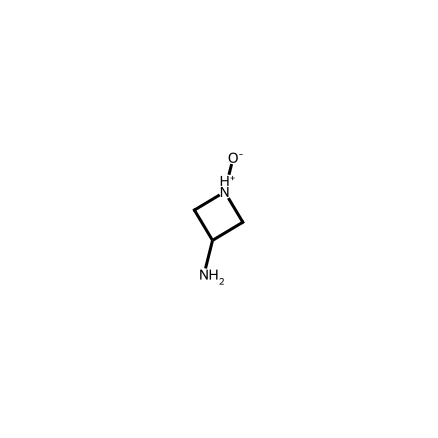 NC1C[NH+]([O-])C1